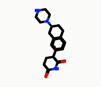 O=C1CCC(c2ccc3c(c2)C[C@@H](N2CCNCC2)CC3)C(=O)N1